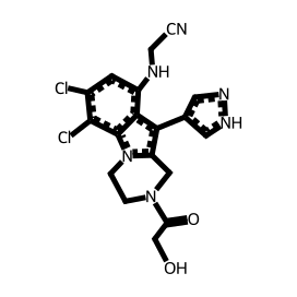 N#CCNc1cc(Cl)c(Cl)c2c1c(-c1cn[nH]c1)c1n2CCN(C(=O)CO)C1